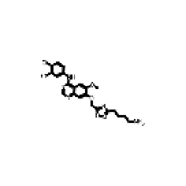 COc1cc2c(Nc3ccc(Cl)c(Cl)c3)ncnc2cc1OCc1nc(CCCCN)no1